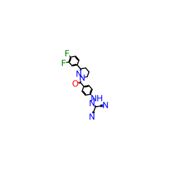 N#CC(C#N)=NNc1ccc(C(=O)N2CCCC(c3ccc(F)c(F)c3)=N2)cc1